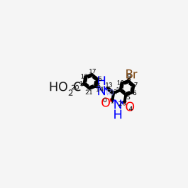 O=C1NC(=O)c2ccc(Br)cc2/C1=C/Nc1cc[c]c(C(=O)O)c1